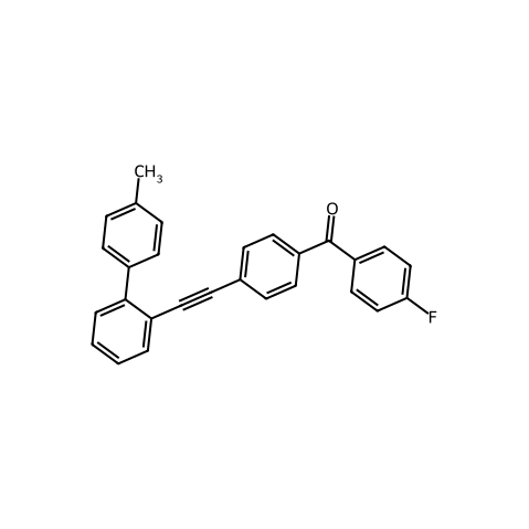 Cc1ccc(-c2ccccc2C#Cc2ccc(C(=O)c3ccc(F)cc3)cc2)cc1